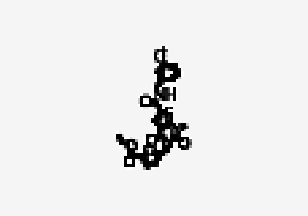 CCOC(=O)c1ccc(Cn2c(=O)c3cc(C(=O)NCc4cccc(OC)c4)sc3n(C)c2=O)o1